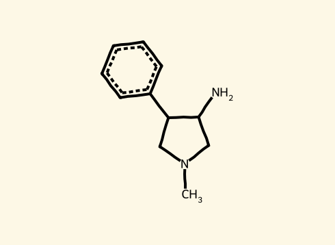 CN1CC(N)C(c2ccccc2)C1